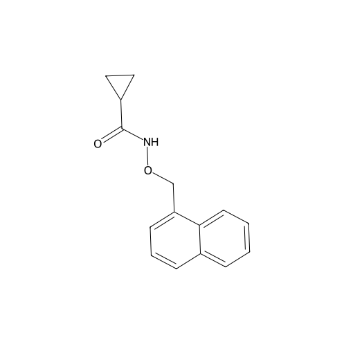 O=C(NOCc1cccc2ccccc12)C1CC1